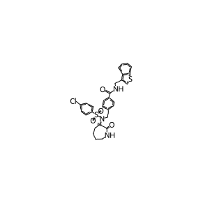 O=C(NCc1csc2ccccc12)c1ccc(CN([C@@H]2CCCCNC2=O)S(=O)(=O)c2ccc(Cl)cc2)cc1